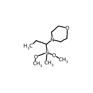 CCC(N1CCOCC1)[Si](C)(OC)OC